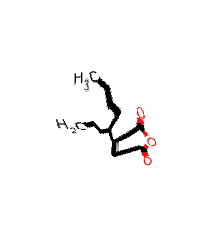 C=CCC(CCCC)C1CC(=O)OC1=O